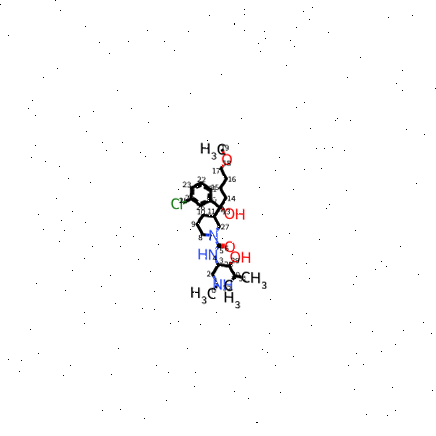 CNCC(NC(=O)N1CCCC(C(O)(CCCCOC)c2cccc(Cl)c2)C1)C(O)C(C)C